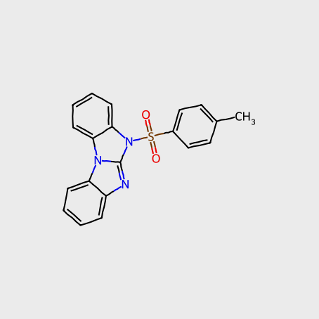 Cc1ccc(S(=O)(=O)n2c3ccccc3n3c4ccccc4nc23)cc1